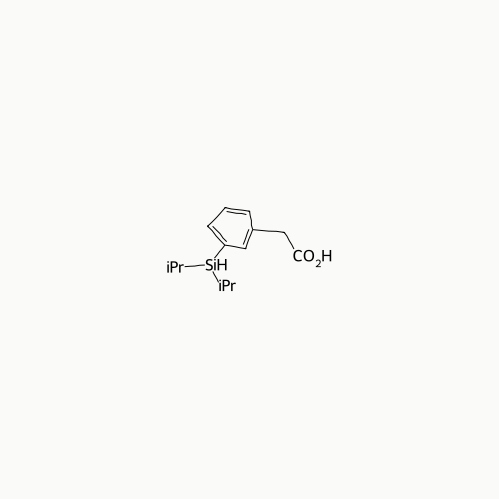 CC(C)[SiH](c1cccc(CC(=O)O)c1)C(C)C